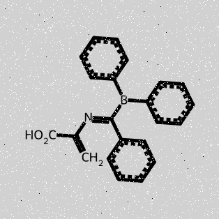 C=C(N=C(B(c1ccccc1)c1ccccc1)c1ccccc1)C(=O)O